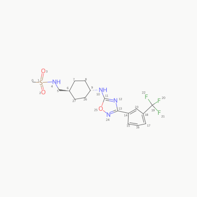 CS(=O)(=O)NC[C@H]1CC[C@H](Nc2nc(-c3cccc(C(F)(F)F)c3)no2)CC1